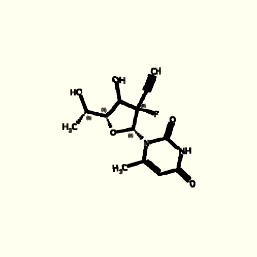 C#C[C@@]1(F)C(O)[C@@H]([C@H](C)O)O[C@H]1n1c(C)cc(=O)[nH]c1=O